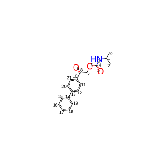 CC(C)NC(=O)OCC(=O)c1ccc(-c2ccccc2)cc1